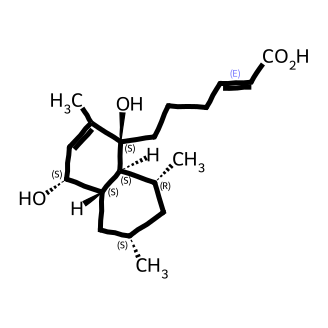 CC1=C[C@@H](O)[C@H]2C[C@@H](C)C[C@@H](C)[C@@H]2[C@@]1(O)CCC/C=C/C(=O)O